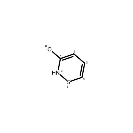 [O]C1=CC=CSN1